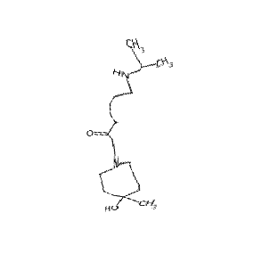 CC(C)NCCCC(=O)N1CCC(C)(O)CC1